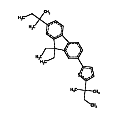 CCC(C)(C)c1ccc2c(c1)C(CC)(CC)c1cc(-c3ccc(C(C)(C)CC)s3)ccc1-2